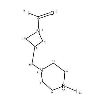 O=C(I)N1CC(CN2CCN(I)CC2)C1